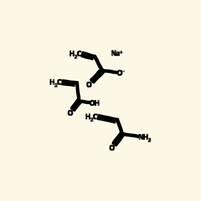 C=CC(=O)O.C=CC(=O)[O-].C=CC(N)=O.[Na+]